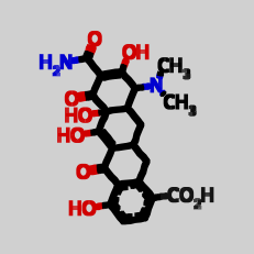 CN(C)C1C(O)=C(C(N)=O)C(=O)C2(O)C(O)=C3C(=O)c4c(O)ccc(C(=O)O)c4CC3CC12